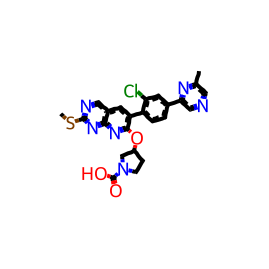 CSc1ncc2cc(-c3ccc(-c4cncc(C)n4)cc3Cl)c(OC3CCN(C(=O)O)C3)nc2n1